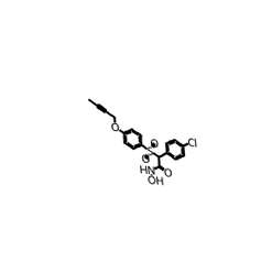 CC#CCOc1ccc(S(=O)(=O)C(C(=O)NO)c2ccc(Cl)cc2)cc1